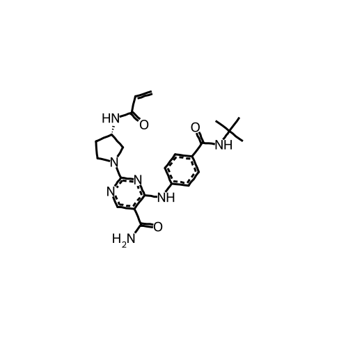 C=CC(=O)N[C@H]1CCN(c2ncc(C(N)=O)c(Nc3ccc(C(=O)NC(C)(C)C)cc3)n2)C1